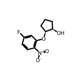 O=[N+]([O-])c1ccc(F)cc1O[C@H]1CCC[C@H]1O